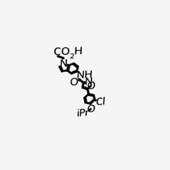 CC(C)Oc1ccc(-c2cc(C(=O)Nc3ccc4c(ccn4CCC(=O)O)c3)no2)cc1Cl